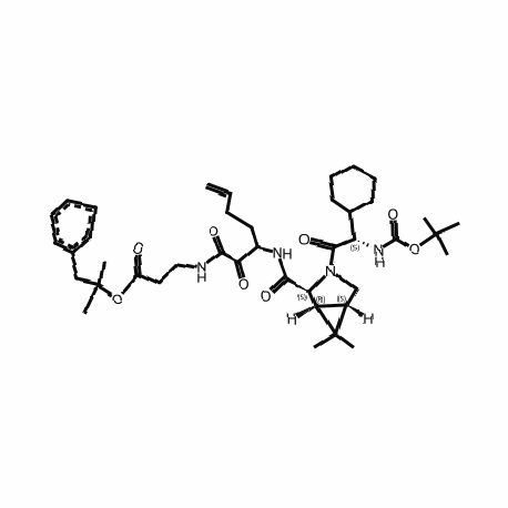 C=CCCC(NC(=O)[C@@H]1[C@@H]2[C@H](CN1C(=O)[C@@H](NC(=O)OC(C)(C)C)C1CCCCC1)C2(C)C)C(=O)C(=O)NCCC(=O)OC(C)(C)Cc1ccccc1